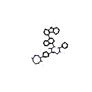 CCC1/C(c2ccc(/C3=C/C=C(/C)CCC(C)C3C)cc2)=C/CC(C)/C(c2ccccc2)=N\C1c1ccc(-c2cccc3c2-c2ccccc2C3(C)C)c2ccccc12